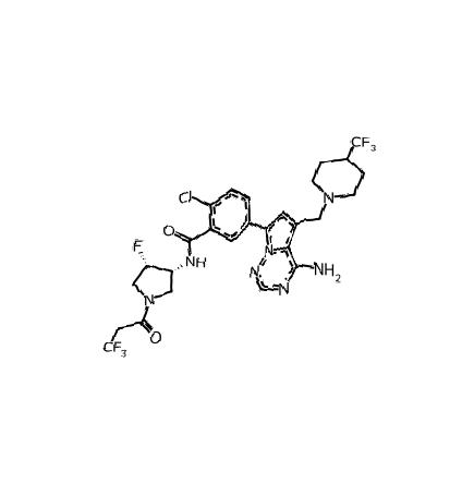 Nc1ncnn2c(-c3ccc(Cl)c(C(=O)N[C@@H]4CN(C(=O)CC(F)(F)F)C[C@@H]4F)c3)cc(CN3CCC(C(F)(F)F)CC3)c12